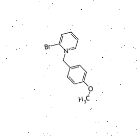 COc1ccc(C[n+]2ccccc2Br)cc1